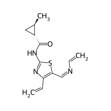 C=C/N=C\c1sc(NC(=O)[C@@H]2C[C@H]2C)nc1C=C